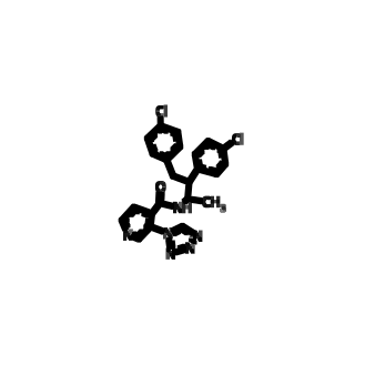 CC(NC(=O)c1ccncc1-n1cnnn1)C(Cc1ccc(Cl)cc1)c1ccc(Cl)cc1